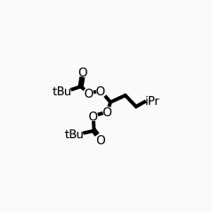 CC(C)CCC(OOC(=O)C(C)(C)C)OOC(=O)C(C)(C)C